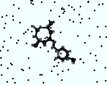 CN1CC(=O)OB(/C=C/c2ccc(Br)cc2)OC(=O)C1